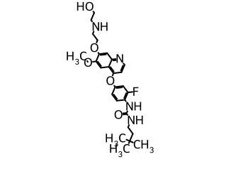 COc1cc2c(Oc3ccc(NC(=O)NCCC(C)(C)C)c(F)c3)ccnc2cc1OCCNCCO